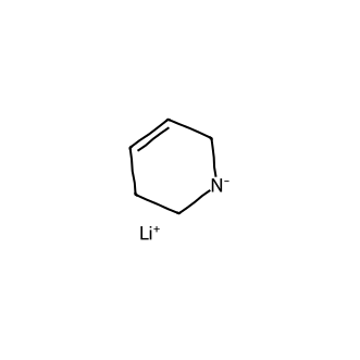 C1=CC[N-]CC1.[Li+]